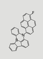 Fc1ccc2ccc3c(N4c5ccccc5B5c6ccccc6-c6cccc4c65)ccc4ccc1c2c43